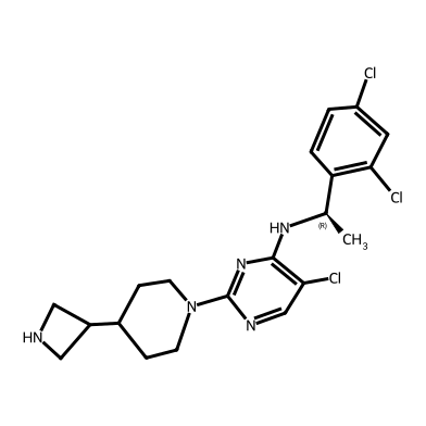 C[C@@H](Nc1nc(N2CCC(C3CNC3)CC2)ncc1Cl)c1ccc(Cl)cc1Cl